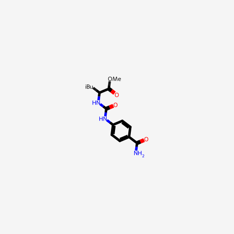 CCC(C)C(NC(=O)Nc1ccc(C(N)=O)cc1)C(=O)OC